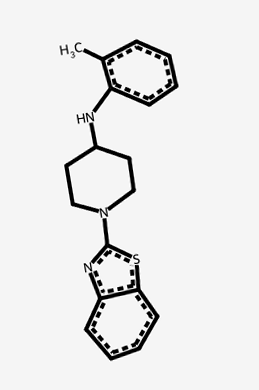 Cc1ccccc1NC1CCN(c2nc3ccccc3s2)CC1